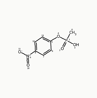 CP(=O)(O)Oc1ccc([N+](=O)[O-])cc1